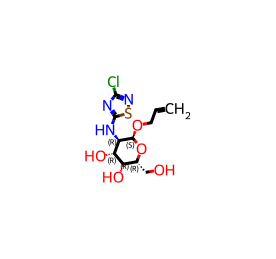 C=CCO[C@H]1O[C@H](CO)[C@H](O)[C@H](O)[C@H]1Nc1nc(Cl)ns1